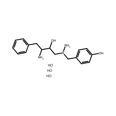 Cl.Cl.Cl.NC(Cc1ccccc1)C(O)CN(N)Cc1ccc(O)cc1